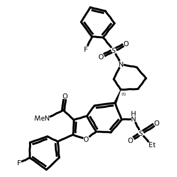 CCS(=O)(=O)Nc1cc2oc(-c3ccc(F)cc3)c(C(=O)NC)c2cc1[C@@H]1CCCN(S(=O)(=O)c2ccccc2F)C1